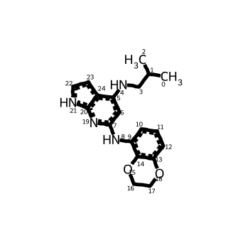 CC(C)CNc1cc(Nc2cc[c]c3c2OCCO3)nc2[nH]ccc12